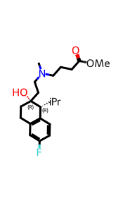 COC(=O)CCCN(C)CC[C@]1(O)CCc2cc(F)ccc2[C@H]1C(C)C